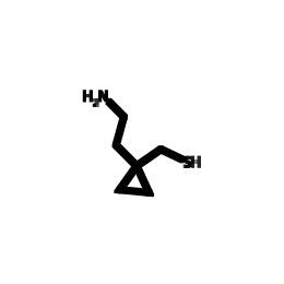 NCCC1(CS)CC1